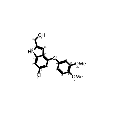 COc1ccc(Sc2cc(Cl)cc3[nH]c(CO)cc23)cc1OC